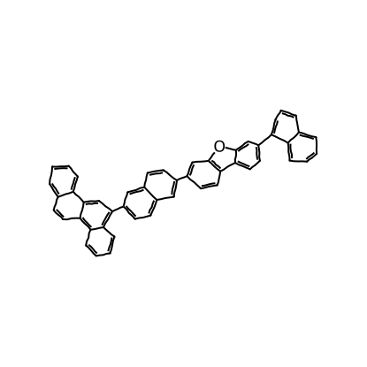 c1ccc2c(-c3ccc4c(c3)oc3cc(-c5ccc6cc(-c7cc8c9ccccc9ccc8c8ccccc78)ccc6c5)ccc34)cccc2c1